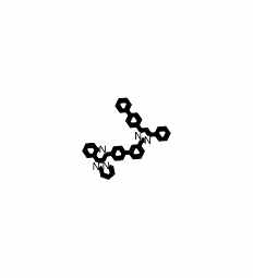 C1=CC2N=C(c3ccc(-c4cccc(-c5nc(-c6ccccc6)cc(-c6ccc(-c7ccccc7)cc6)n5)c4)cc3)c3c(nc4ccccn34)C2C=C1